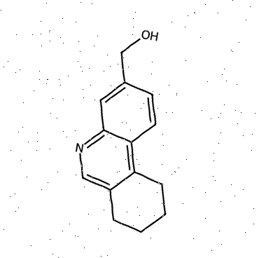 OCc1ccc2c3c(cnc2c1)CCCC3